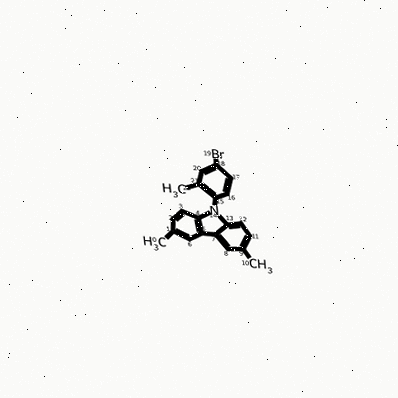 Cc1ccc2c(c1)c1cc(C)ccc1n2-c1ccc(Br)cc1C